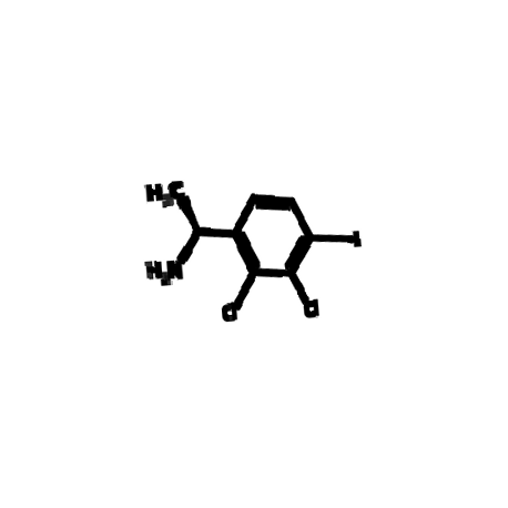 C[C@H](N)c1ccc(I)c(Cl)c1Cl